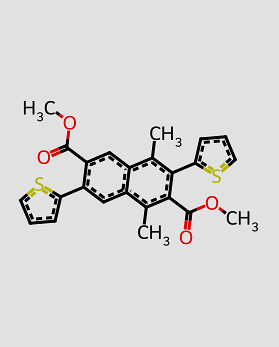 COC(=O)c1cc2c(C)c(-c3cccs3)c(C(=O)OC)c(C)c2cc1-c1cccs1